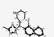 Cc1nnn([C@H](c2ccc3ccccc3c2F)[C@H]2CCCNC2)n1